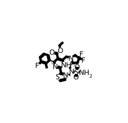 CCOC(=O)C1=C(CN2CC(F)(F)C[C@@H]2CN(C)S(N)(=O)=O)NC(c2nccs2)=N[C@H]1c1cccc(F)c1C